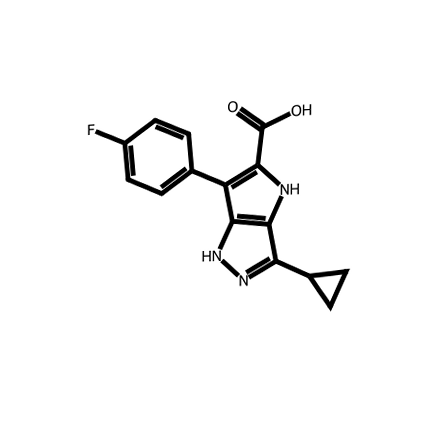 O=C(O)c1[nH]c2c(C3CC3)n[nH]c2c1-c1ccc(F)cc1